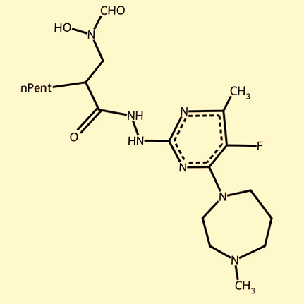 CCCCCC(CN(O)C=O)C(=O)NNc1nc(C)c(F)c(N2CCCN(C)CC2)n1